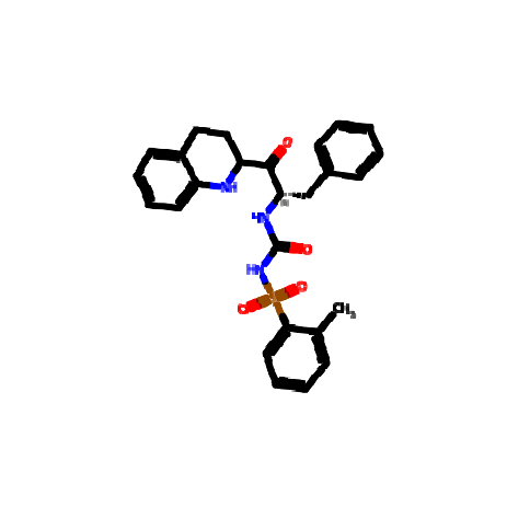 Cc1ccccc1S(=O)(=O)NC(=O)N[C@@H](Cc1ccccc1)C(=O)C1CCc2ccccc2N1